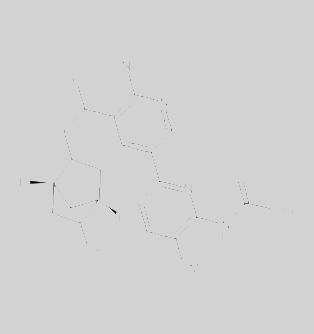 CSc1ccc(-c2cnc(N)c(C(C)CC3C[C@H]4C[C@@H]3CC4C(C)C)c2)nc1NC(=O)C(C)(C)C